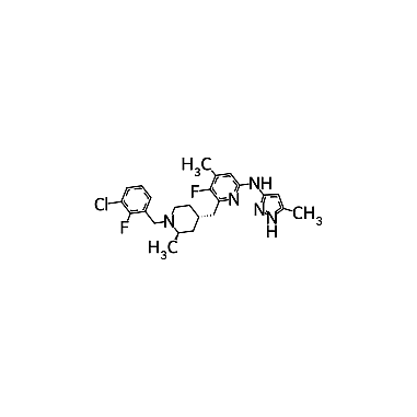 Cc1cc(Nc2cc(C)c(F)c(C[C@H]3CCN(Cc4cccc(Cl)c4F)[C@H](C)C3)n2)n[nH]1